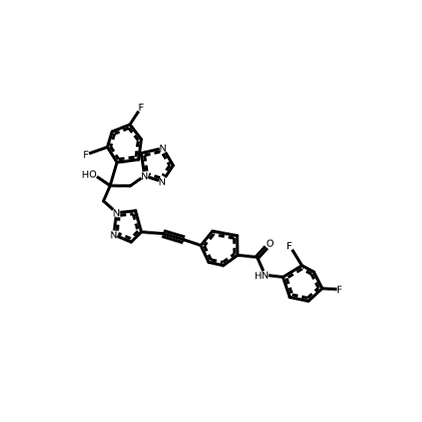 O=C(Nc1ccc(F)cc1F)c1ccc(C#Cc2cnn(CC(O)(Cn3cncn3)c3ccc(F)cc3F)c2)cc1